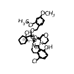 COc1ccc(COC(=O)[C@@]2(C)CCCC[C@H]2C(=O)N2CCc3c(Cl)ccc(O)c3[C@H]2N2CCOCC2=O)c(OC)c1